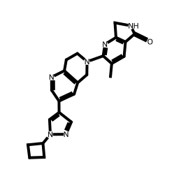 Cc1cc2c(nc1N1CCc3ncc(-c4cnn(C5CCC5)c4)cc3C1)CNC2=O